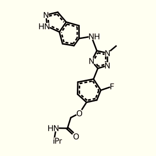 CC(C)NC(=O)COc1ccc(-c2nc(Nc3ccc4[nH]ncc4c3)n(C)n2)c(F)c1